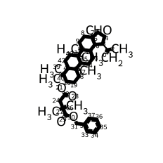 C=C(C)[C@@H]1CC[C@]2(C=O)CC[C@]3(C)C(CCC4[C@@]5(C)CC[C@H](OC(=O)CC(C)(C)C(=O)OCc6ccccc6)C(C)(C)C5CC[C@]43C)C12